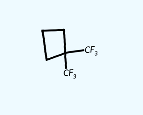 FC(F)(F)C1(C(F)(F)F)CCC1